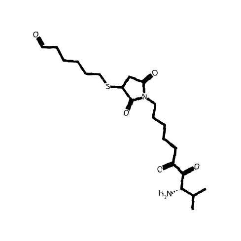 CC(C)[C@H](N)C(=O)C(=O)CCCCCN1C(=O)CC(SCCCCCC=O)C1=O